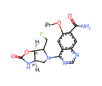 CC(C)Oc1cc2c(N3C[C@H]4NC(=O)O[C@H]4C3CF)ncnc2cc1C(N)=O